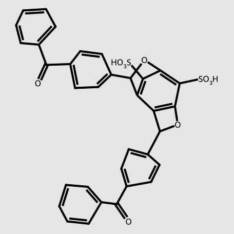 O=C(c1ccccc1)c1ccc(C2Oc3c2c2c(S(=O)(=O)O)c(c3S(=O)(=O)O)OC2c2ccc(C(=O)c3ccccc3)cc2)cc1